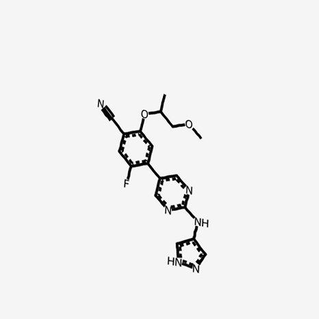 COCC(C)Oc1cc(-c2cnc(Nc3cn[nH]c3)nc2)c(F)cc1C#N